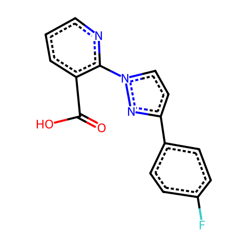 O=C(O)c1cccnc1-n1ccc(-c2ccc(F)cc2)n1